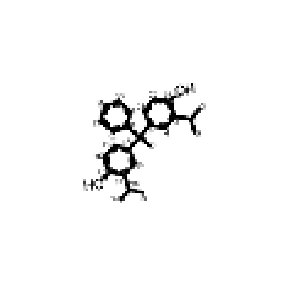 CC(C)c1cc(C(C)(c2ccccc2)c2ccc(O)c(C(C)C)c2)ccc1O